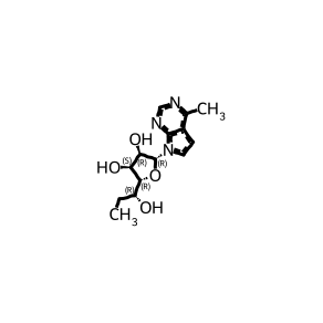 CC[C@@H](O)[C@H]1O[C@@H](n2ccc3c(C)ncnc32)[C@H](O)[C@@H]1O